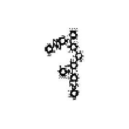 c1ccc(N(c2ccc(-c3cccc(-c4ccc(N(c5ccccc5)c5ccc6nn(-c7ccccc7)nc6c5)cc4)c3)cc2)c2ccc3nn(-c4ccccc4)nc3c2)cc1